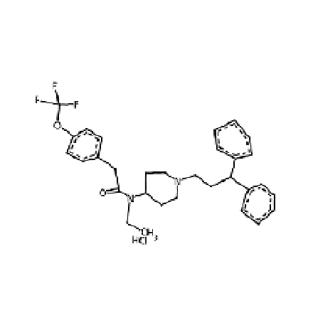 CCN(C(=O)Cc1ccc(OC(F)(F)F)cc1)C1CCN(CCC(c2ccccc2)c2ccccc2)CC1.Cl